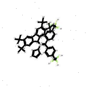 CC(C)(C)c1cc2c(cc1C(C)(C)C)[CH]([Zr](=[C](c1ccc(C(F)(F)F)cc1)c1ccc(C(F)(F)F)cc1)[CH]1C=CC=C1)c1cc(C(C)(C)C)c(C(C)(C)C)cc1-2